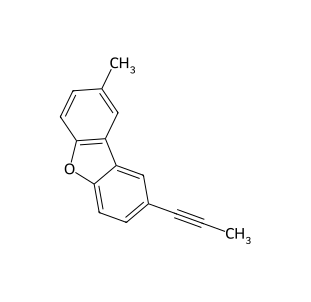 CC#Cc1ccc2oc3ccc(C)cc3c2c1